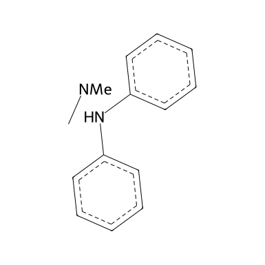 CNC.c1ccc(Nc2ccccc2)cc1